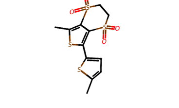 Cc1ccc(-c2sc(C)c3c2S(=O)(=O)CCS3(=O)=O)s1